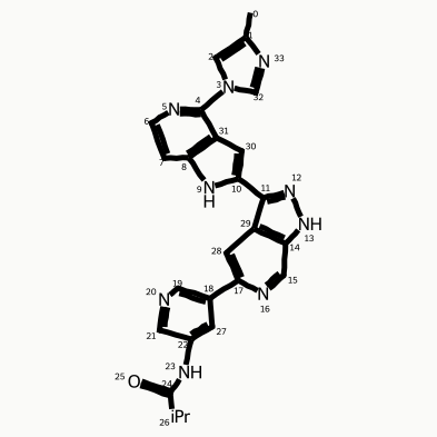 Cc1cn(-c2nccc3[nH]c(-c4n[nH]c5cnc(-c6cncc(NC(=O)C(C)C)c6)cc45)cc23)cn1